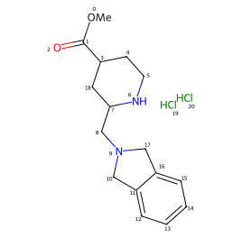 COC(=O)C1CCNC(CN2Cc3ccccc3C2)C1.Cl.Cl